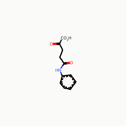 O=C(CCC(=O)C(=O)O)Nc1ccccc1